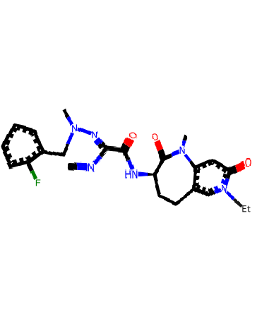 C=N/C(=N\N(C)Cc1ccccc1F)C(=O)N[C@@H]1CCc2cn(CC)c(=O)cc2N(C)C1=O